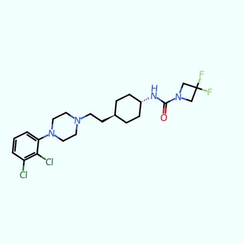 O=C(N[C@H]1CC[C@H](CCN2CCN(c3cccc(Cl)c3Cl)CC2)CC1)N1CC(F)(F)C1